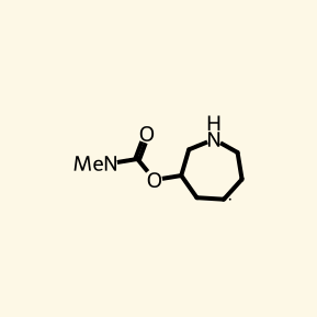 CNC(=O)OC1C[CH]CCNC1